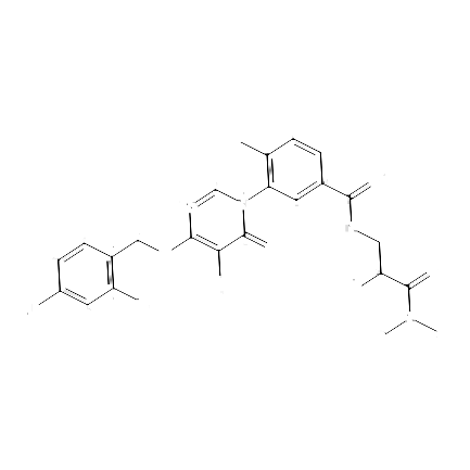 Cc1ccc(C(=O)NCC(O)C(=O)N(C)C)cc1-n1cnc(OCc2ccc(F)cc2F)c(Cl)c1=O